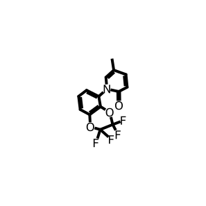 Cc1ccc(=O)n(-c2cccc3c2OC(F)(F)C(F)(F)O3)c1